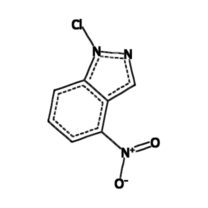 O=[N+]([O-])c1cccc2c1cnn2Cl